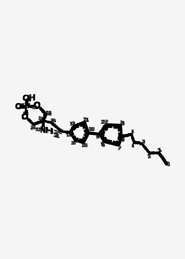 CCCCCCc1ccc(-c2ccc(CCC3(N)COP(=O)(O)OC3)cc2)cc1